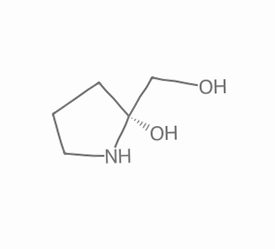 OC[C@]1(O)CCCN1